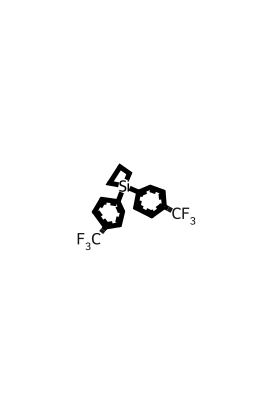 FC(F)(F)c1ccc([Si]2(c3ccc(C(F)(F)F)cc3)CCC2)cc1